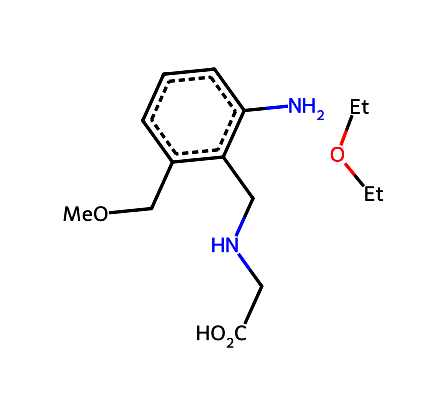 CCOCC.COCc1cccc(N)c1CNCC(=O)O